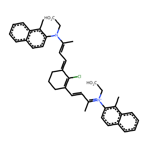 C/C(=C\C=C1/CCCC(/C=C/C(C)=[N+](\CC(=O)O)c2ccc3ccccc3c2C)=C1Cl)N(CC(=O)O)c1ccc2ccccc2c1C